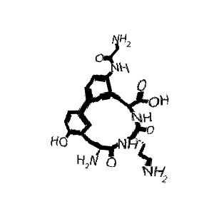 NCCC[C@@H]1NC(=O)[C@@H](N)Cc2cc(ccc2O)-c2ccc(NC(=O)CN)c(c2)CC(C(=O)O)NC1=O